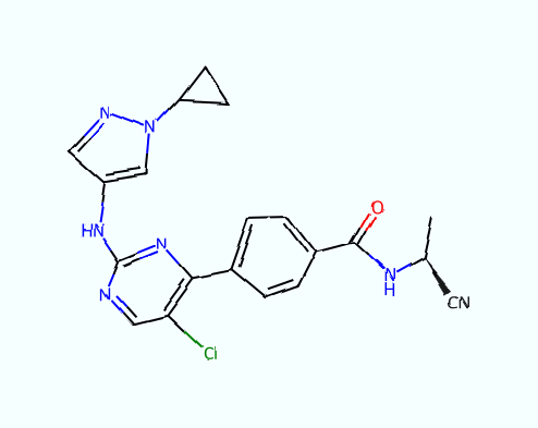 C[C@@H](C#N)NC(=O)c1ccc(-c2nc(Nc3cnn(C4CC4)c3)ncc2Cl)cc1